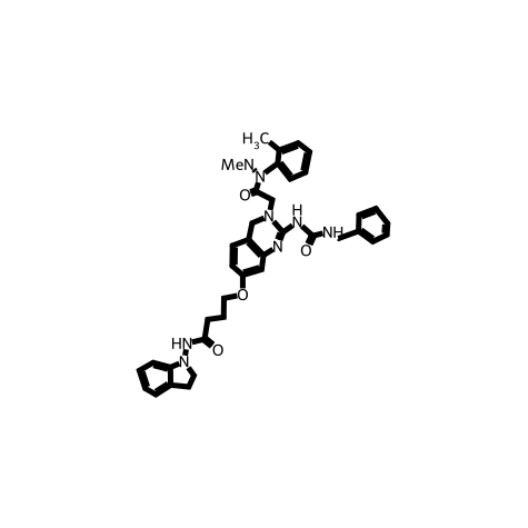 CNN(C(=O)CN1Cc2ccc(OCCCC(=O)NN3CCc4ccccc43)cc2N=C1NC(=O)NCc1ccccc1)c1ccccc1C